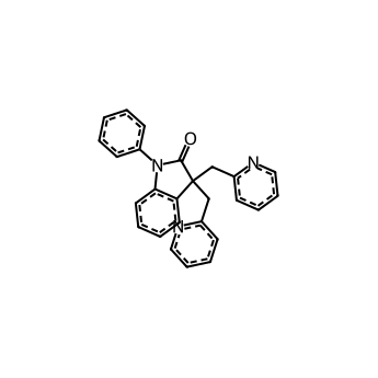 O=C1N(c2ccccc2)c2ccccc2C1(Cc1ccccn1)Cc1ccccn1